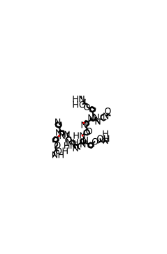 CNCC(O)COc1cccc(-c2nc(NC3CCOC(c4cc(-c5cc(N(C)C6CCN(C(C)=O)CC6)nc(-c6cccc(OCC(O)CNC)c6)n5)ccn4)C3)cc(-c3c(C)n[nH]c3CC3CC(N(C)c4cc(-c5ccncc5)nc(-c5cccc(OCC(O)CNC)c5)n4)CCN3)n2)c1